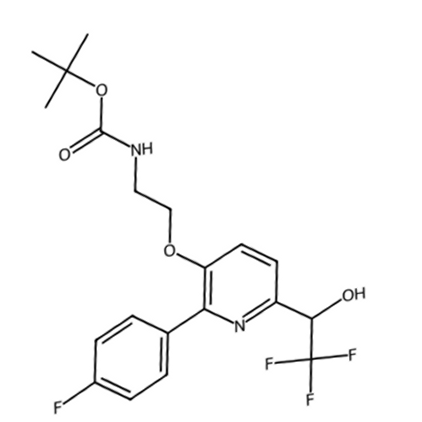 CC(C)(C)OC(=O)NCCOc1ccc(C(O)C(F)(F)F)nc1-c1ccc(F)cc1